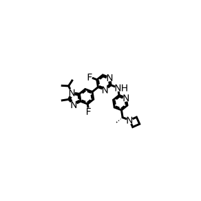 Cc1nc2c(F)cc(-c3nc(Nc4ccc([C@@H](C)N5CCC5)cn4)ncc3F)cc2n1C(C)C